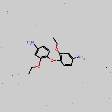 CCOc1cc(N)ccc1Oc1ccc(N)cc1OCC